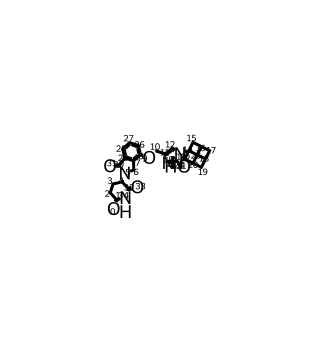 O=C1CCC(N2Cc3c(OCc4cn(C56CC7CC8CC(O)(C5)C876)nn4)cccc3C2=O)C(=O)N1